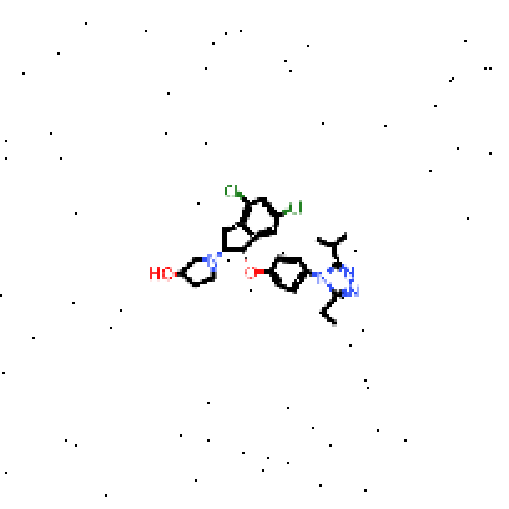 CCc1nnc(C(C)C)n1-c1ccc(O[C@H]2c3cc(Cl)cc(Cl)c3C[C@@H]2N2CCC(O)C2)cc1